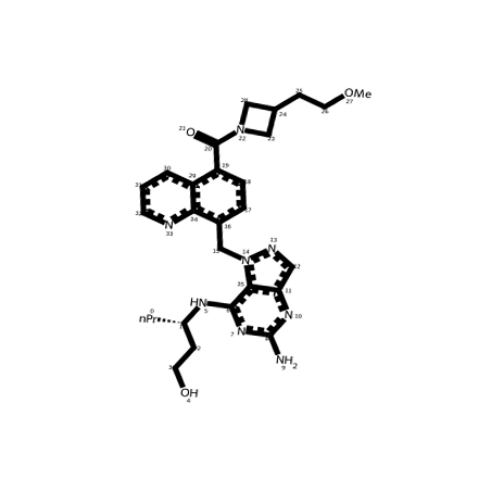 CCC[C@@H](CCO)Nc1nc(N)nc2cnn(Cc3ccc(C(=O)N4CC(CCOC)C4)c4cccnc34)c12